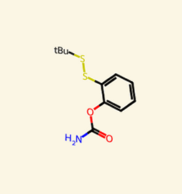 CC(C)(C)SSc1ccccc1OC(N)=O